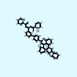 C=C(/C=C(\C=C(/C)C1C=CC=CN1)c1cccc(-c2ccc(-c3nc4cccc(-c5ccc6sc7ccccc7c6c5)c4c4c3oc3ccccc34)cc2)c1)c1ccccn1